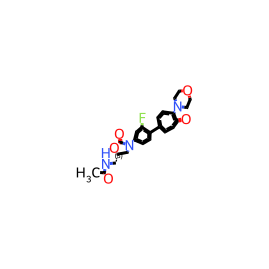 CC(=O)NC[C@H]1CN(c2ccc(-c3ccc(N4CCOCC4)c(=O)cc3)c(F)c2)C(=O)O1